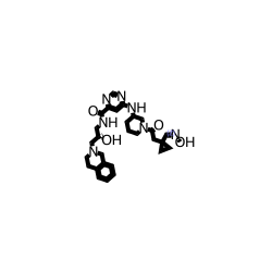 O=C(NC[C@H](O)CN1CCc2ccccc2C1)c1cc(NC2CCCN(C(=O)CC3(/C=N\O)CC3)C2)ncn1